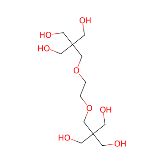 OCC(CO)(CO)COCCOCC(CO)(CO)CO